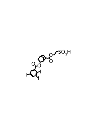 O=C(OC1CC2CC(C(=O)OCCS(=O)(=O)O)C1C2)c1cc(I)cc(I)c1I